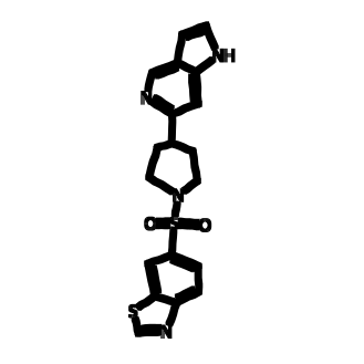 O=S(=O)(c1ccc2ncsc2c1)N1CCC(c2cc3[nH]ccc3cn2)CC1